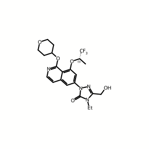 CCn1c(CO)nn(-c2cc(O[C@@H](C)C(F)(F)F)c3c(OC4CCOCC4)nccc3c2)c1=O